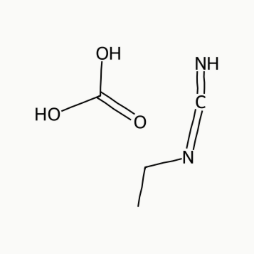 CCN=C=N.O=C(O)O